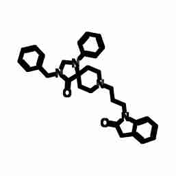 O=C1Cc2ccccc2N1CCCN1CCC2(CC1)C(=O)N(Cc1ccccc1)CN2c1ccccc1